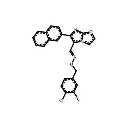 Clc1ccc(CON=Cc2c(-c3ccc4ccccc4c3)nc3occn23)cc1Cl